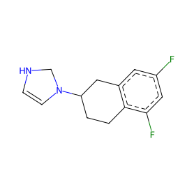 Fc1cc(F)c2c(c1)CC(N1C=CNC1)CC2